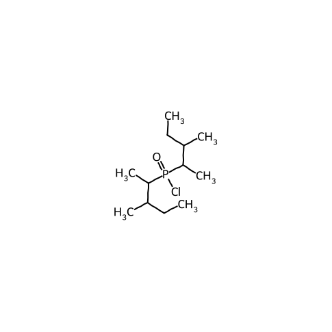 CCC(C)C(C)P(=O)(Cl)C(C)C(C)CC